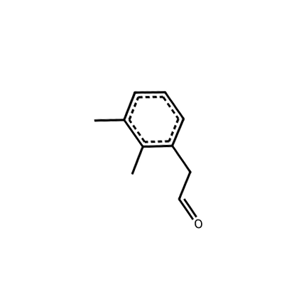 Cc1cccc(CC=O)c1C